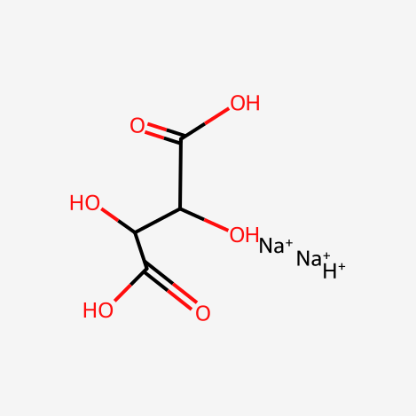 O=C(O)C(O)C(O)C(=O)O.[H+].[Na+].[Na+]